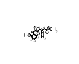 COC(=O)C[C@@H](N)CC(=O)N(C)Cc1ccccc1O